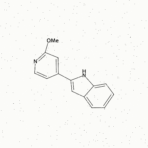 COc1cc(-c2cc3c[c]ccc3[nH]2)ccn1